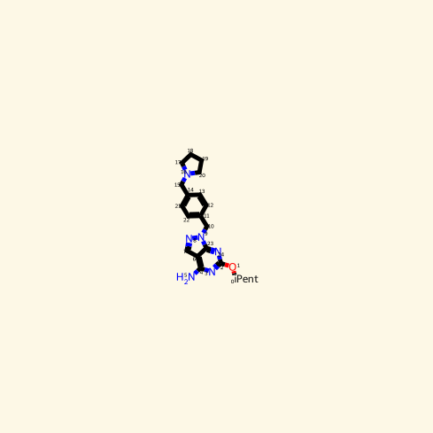 CCCC(C)Oc1nc(N)c2cnn(Cc3ccc(CN4CCCC4)cc3)c2n1